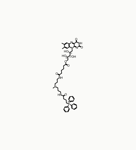 Cc1cc2nc3c(=O)[nH]c(=O)nc-3n(C[C@H](O)[C@H](O)[C@H](O)COC(=O)CCCCC(=O)NCCCN(C)CCCNC(=O)CCC[PH](c3ccccc3)(c3ccccc3)c3ccccc3)c2cc1C